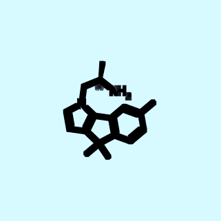 Cc1ccc2c(c1)-c1c(ccn1C[C@@H](C)N)C2(C)C